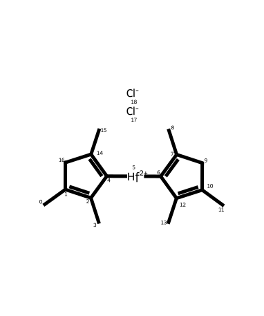 CC1=C(C)[C]([Hf+2][C]2=C(C)CC(C)=C2C)=C(C)C1.[Cl-].[Cl-]